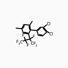 Cc1[c]c(C)c(-c2ccc(Cl)c(Cl)c2)c(C(F)(C(F)(F)F)C(F)(F)C(F)(F)F)c1